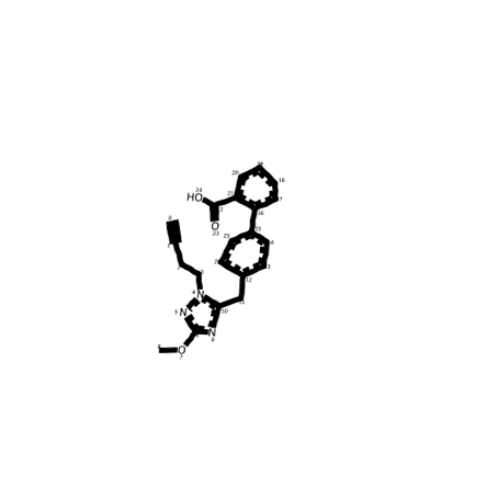 C#CCCn1nc(OC)nc1Cc1ccc(-c2ccccc2C(=O)O)cc1